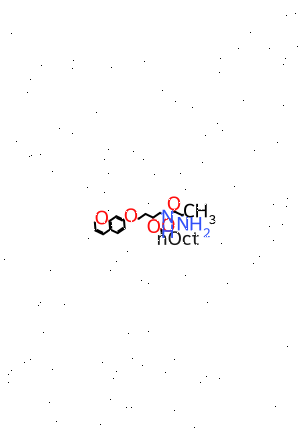 CCCCCCCCC(=O)OC(CCOc1ccc2c(c1)OCC=C2)CNC(=O)C(C)N